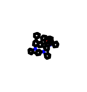 c1ccc(-c2ccc(-n3c4ccccc4c4ccc(-n5c6ccccc6c6cc(-n7c8ccccc8c8ccccc87)c([Si](c7ccccc7)(c7ccccc7)c7ccccc7)cc65)cc43)cc2)cc1